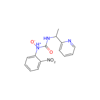 CC(NC(=O)[NH+]([O-])c1ccccc1[N+](=O)[O-])c1ccccn1